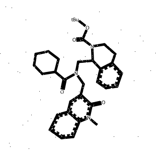 Cn1c(=O)c(CN(CC2c3ccccc3CCN2C(=O)OC(C)(C)C)C(=O)C2CCCCC2)cc2ccccc21